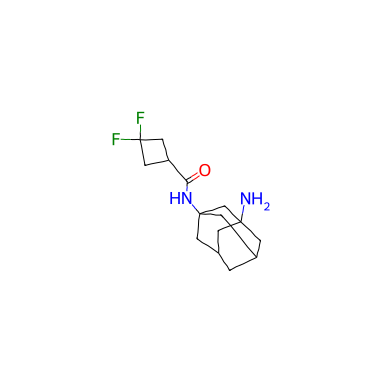 NC12CC3CC(C1)CC(NC(=O)C1CC(F)(F)C1)(C3)C2